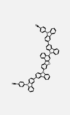 N#Cc1ccc(-n2c3ccccc3c3cc(-c4ccc5c(c4)c4ccccc4n5-c4ccc5c(c4)oc4cc(-n6c7ccccc7c7cc(-c8ccc9c(c8)c8ccccc8n9-c8ccc(C#N)cc8)ccc76)c6ccccc6c45)ccc32)cc1